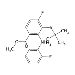 COC(=O)c1ccc(F)c(SC(C)(C)C)c1Nc1ccccc1F